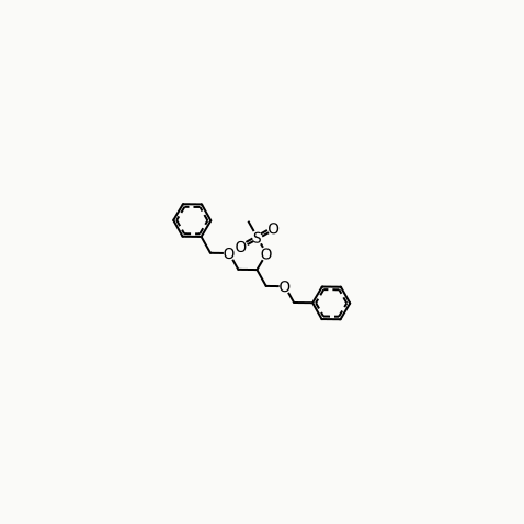 CS(=O)(=O)OC(COCc1ccccc1)COCc1ccccc1